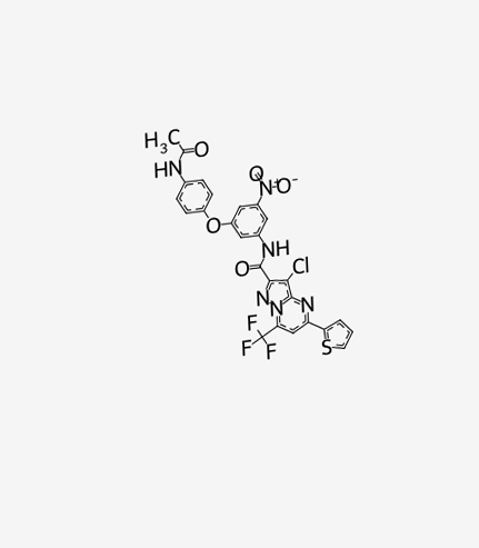 CC(=O)Nc1ccc(Oc2cc(NC(=O)c3nn4c(C(F)(F)F)cc(-c5cccs5)nc4c3Cl)cc([N+](=O)[O-])c2)cc1